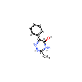 Cc1nnc(-c2ccccc2)c(=O)[nH]1